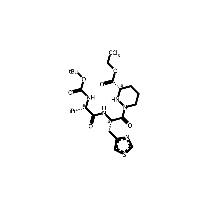 CC(C)[C@H](NC(=O)OC(C)(C)C)C(=O)N[C@@H](Cc1cscn1)C(=O)N1CCC[C@@H](C(=O)OCC(Cl)(Cl)Cl)N1